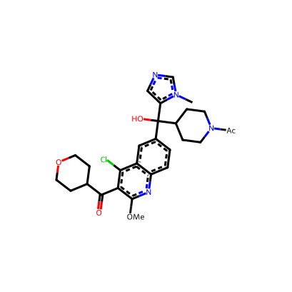 COc1nc2ccc(C(O)(c3cncn3C)C3CCN(C(C)=O)CC3)cc2c(Cl)c1C(=O)C1CCOCC1